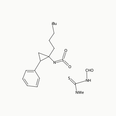 CCC(C)CCCC1(N=S(=O)=O)CC1c1ccccc1.CNC(=S)NC=O